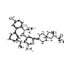 Nc1nc(OC(c2ccc(Cl)cc2-c2cccc(CO)c2)C(F)(F)F)cc(N2CCC3(CC2)CNC(C(=O)O)C3)n1